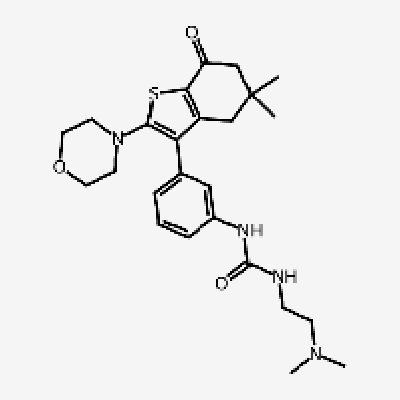 CN(C)CCNC(=O)Nc1cccc(-c2c(N3CCOCC3)sc3c2CC(C)(C)CC3=O)c1